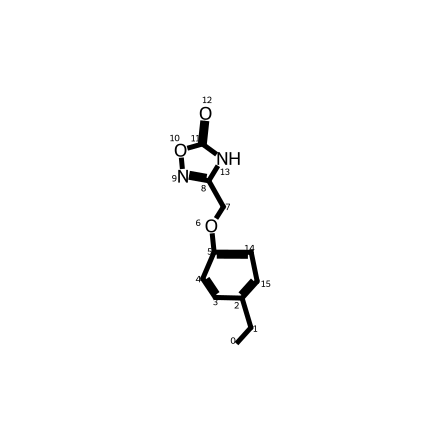 CCc1ccc(OCc2noc(=O)[nH]2)cc1